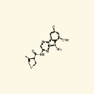 COc1cc(Cl)cc2c3ncc(NC(=O)C4CON=C4C)nc3n(N)c12